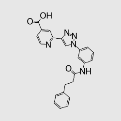 O=C(CCc1ccccc1)Nc1cccc(-n2cc(-c3cc(C(=O)O)ccn3)nn2)c1